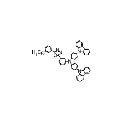 COc1cccc(-c2nnc(-c3cccc(-n4c5ccc(-n6c7c(c8ccccc86)CCC=C7)cc5c5cc(-n6c7ccccc7c7ccccc76)ccc54)c3)o2)c1